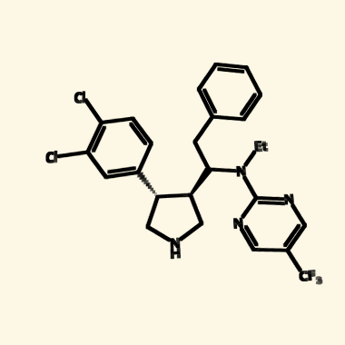 CCN(c1ncc(C(F)(F)F)cn1)C(Cc1ccccc1)[C@H]1CNC[C@@H]1c1ccc(Cl)c(Cl)c1